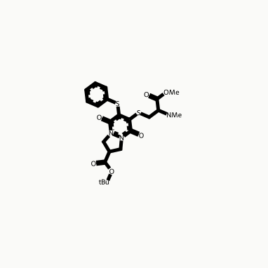 CNC(CSc1c(Sc2ccccc2)c(=O)n2n(c1=O)CC(C(=O)OC(C)(C)C)C2)C(=O)OC